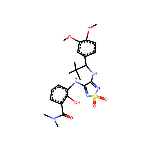 COc1ccc(C(NC2=NS(=O)(=O)N=C2Nc2cccc(C(=O)N(C)C)c2O)C(C)(C)C)cc1OC